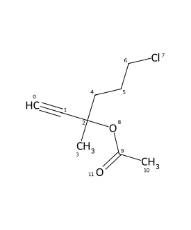 C#CC(C)(CCCCl)OC(C)=O